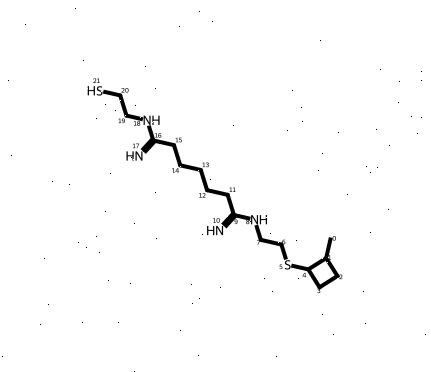 CC1CCC1SCCNC(=N)CCCCCC(=N)NCCS